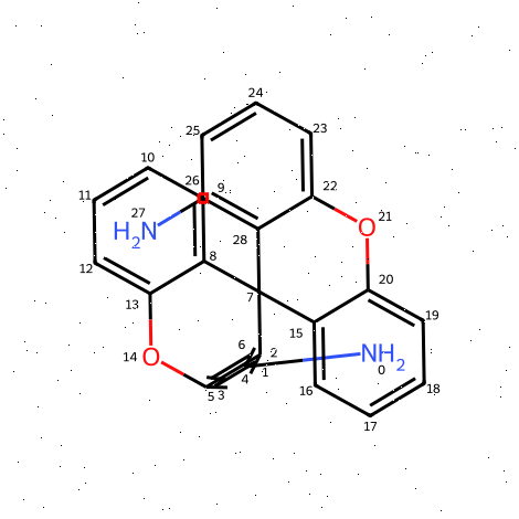 Nc1cccc2c1C1(c3ccccc3O2)c2ccccc2Oc2cccc(N)c21